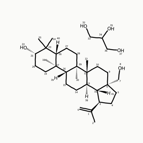 C=C(C)[C@@H]1CC[C@]2(CO)CC[C@]3(C)[C@H](CC[C@@H]4[C@@]5(C)CC[C@H](O)C(C)(C)[C@@H]5CC[C@]43C)[C@@H]12.OCC(O)CO